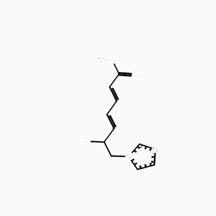 COC(=O)C=CC=CC(C)Cn1ccnc1